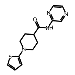 O=C(Nc1cnccn1)C1CCN(c2cccs2)CC1